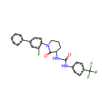 O=C(Nc1ccc(C(F)(F)F)cc1)NC1CCCN(c2ccc(-c3ccccc3)cc2F)C1=O